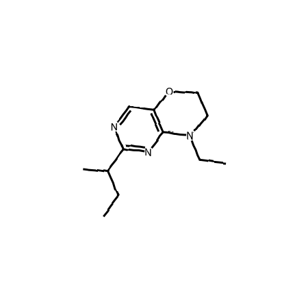 CCC(C)c1ncc2c(n1)N(CC)CCO2